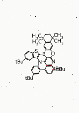 CC(C)(C)c1ccc(-c2cc(C(C)(C)C)ccc2N2c3cc(C(C)(C)C)nc4c3B(c3cc5c(cc3O4)C(C)(C)CCC5(C)C)c3sc4ccc(C(C)(C)C)cc4c32)cc1